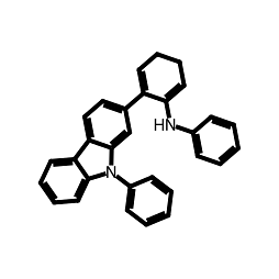 C1=C(Nc2ccccc2)C(c2ccc3c4ccccc4n(-c4ccccc4)c3c2)=CCC1